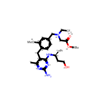 CCC[C@@H](CCO)Nc1nc(N)nc(C)c1Cc1ccc(CN(CC(=O)OC(C)(C)C)CC(F)(F)F)cc1OC